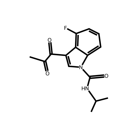 CC(=O)C(=O)c1cn(C(=O)NC(C)C)c2cccc(F)c12